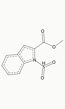 COC(=O)c1cc2ccccc2n1[SH](=O)=O